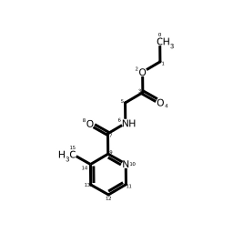 CCOC(=O)CNC(=O)c1ncccc1C